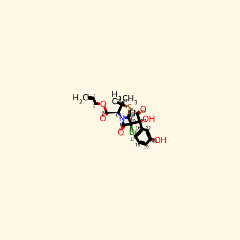 C=CCOC(=O)[C@@H]1N2C(=O)C(Br)(C(O)(C=O)c3cccc(O)c3)[C@H]2SC1(C)C